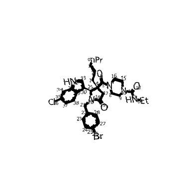 CCC/C=C/C[C@@]1(C(=O)N2CCN(C(=O)NCC)CC2)CC(=O)N(Cc2ccc(Br)cc2)[C@H]1c1c[nH]c2cc(Cl)ccc12